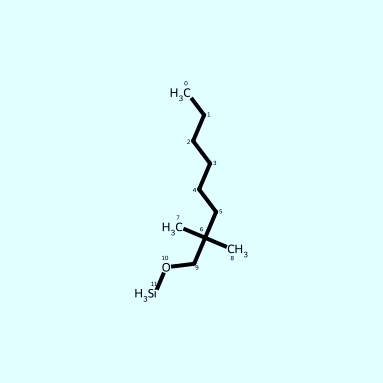 CCCCCCC(C)(C)CO[SiH3]